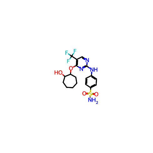 NS(=O)(=O)c1ccc(Nc2ncc(C(F)(F)F)c(OC3CCCCCC3O)n2)cc1